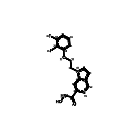 O=C(NO)c1cc2c(ccn2CCOc2cccc(F)c2F)cn1